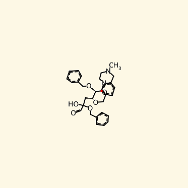 CN1CCN(C(=O)[C@H](OCc2ccccc2)[C@H](CC(O)(C=O)OCc2ccccc2)OCc2ccccc2)CC1